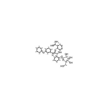 N=C(N)c1cccc(NC(C(=O)Nc2cccc(Oc3ccccc3)c2)c2ccccc2OC2OC(CO)C(O)C(O)C2O)c1